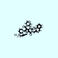 CC#CCn1c(N2CCC[C@@H](N)C2)c(C(=O)N2CCOCC2)c2c1c(=O)n(Cc1ncc3ccccc3n1)c(=O)n2C